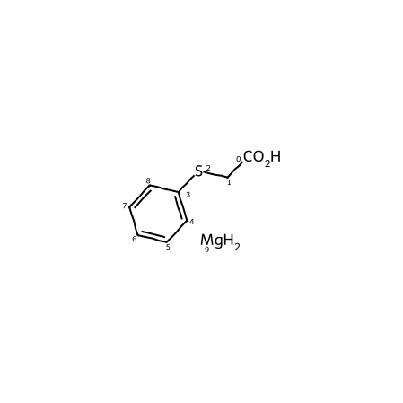 O=C(O)CSc1ccccc1.[MgH2]